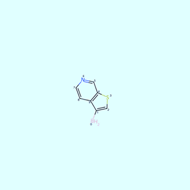 Bc1csc2cnccc12